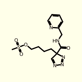 CS(=O)(=O)OCCCCC1(C(=O)NCc2ccccn2)C=NN=N1